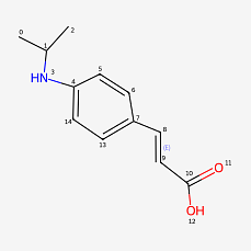 CC(C)Nc1ccc(/C=C/C(=O)O)cc1